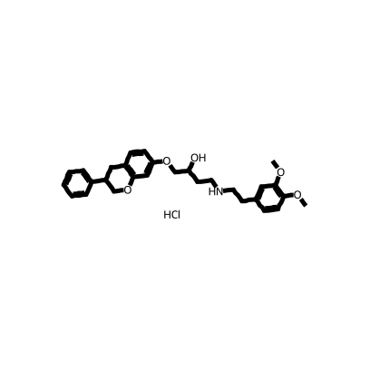 COc1ccc(CCNCCC(O)COc2ccc3c(c2)OCC(c2ccccc2)C3)cc1OC.Cl